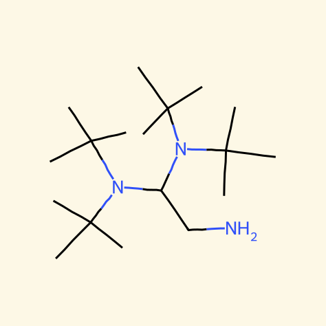 CC(C)(C)N(C(CN)N(C(C)(C)C)C(C)(C)C)C(C)(C)C